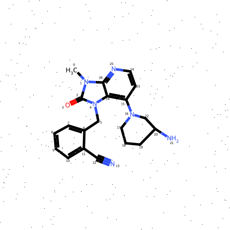 Cn1c(=O)n(Cc2ccccc2C#N)c2c(N3CCCC(N)C3)ccnc21